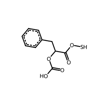 O=C(O)OC(Cc1ccccc1)C(=O)OS